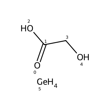 O=C(O)CO.[GeH4]